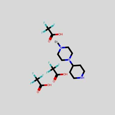 CCN1CCN(C2CCNCC2)CC1.O=C(O)C(F)(F)F.O=C(O)C(F)(F)F.O=C(O)C(F)(F)F